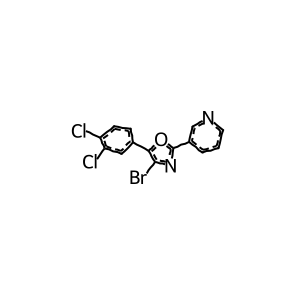 Clc1ccc(-c2oc(-c3cccnc3)nc2Br)cc1Cl